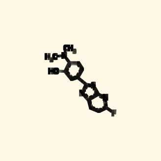 CN(C)c1ccc(-c2nc3ccc(F)nc3s2)cc1O